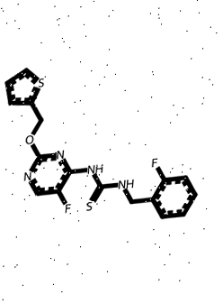 Fc1ccccc1CNC(=S)Nc1nc(OCc2cccs2)ncc1F